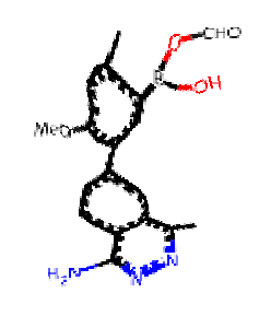 COc1cc(C)c(B(O)OC=O)cc1-c1ccc2c(N)nnc(C)c2c1